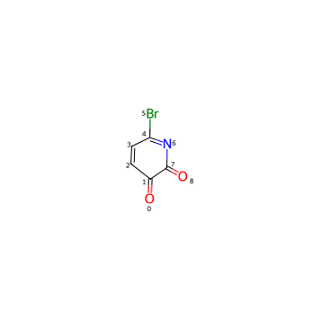 O=C1C=CC(Br)=NC1=O